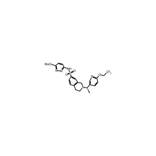 COc1ccc(NS(=O)(=O)c2ccc3c(c2)CN([C@H](C)c2ccc(OCC(F)(F)F)nc2)CC3)nn1